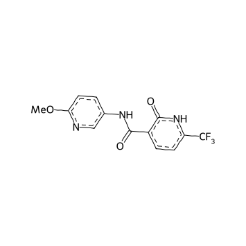 COc1ccc(NC(=O)c2ccc(C(F)(F)F)[nH]c2=O)cn1